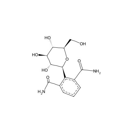 NC(=O)c1cccc(C(N)=O)c1[C@@H]1O[C@H](CO)[C@@H](O)[C@H](O)[C@H]1O